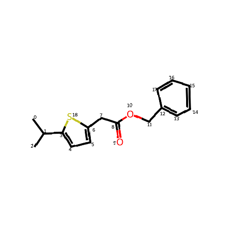 CC(C)c1ccc(CC(=O)OCc2ccccc2)s1